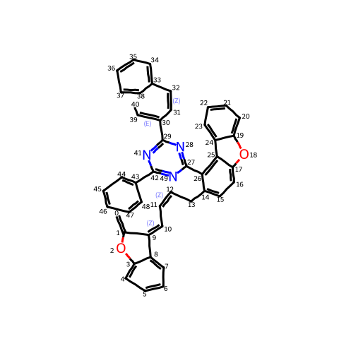 C=c1oc2ccccc2/c1=C/C=C\Cc1ccc2oc3ccccc3c2c1-c1nc(C(/C=C\c2ccccc2)=C/C)nc(-c2ccccc2)n1